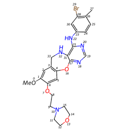 COc1cc2c(cc1OCCN1CCOCC1)Oc1ncnc(Nc3ccc(C)c(Br)c3)c1NC2